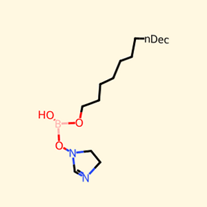 CCCCCCCCCCCCCCCCCOB(O)ON1C=NCC1